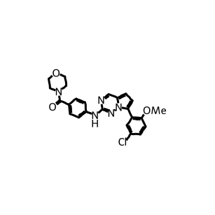 COc1ccc(Cl)cc1-c1ccc2cnc(Nc3ccc(C(=O)N4CCOCC4)cc3)nn12